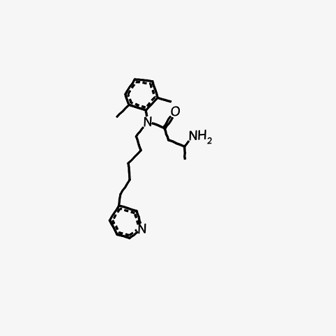 Cc1cccc(C)c1N(CCCCCc1cccnc1)C(=O)CC(C)N